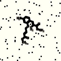 COC(=O)/C=C/COc1cc(C)ccc1/C=C(\C)C(=O)OC